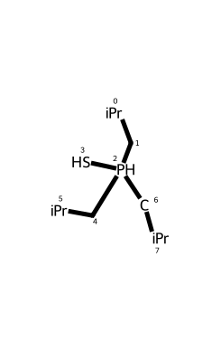 CC(C)C[PH](S)(CC(C)C)CC(C)C